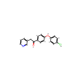 O=C(Cc1cccnc1)c1ccc(Oc2ccc(Cl)cc2)cc1